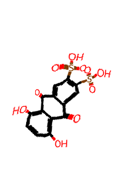 O=C1c2cc(S(=O)(=O)O)c(S(=O)(=O)O)cc2C(=O)c2c(O)ccc(O)c21